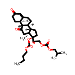 CCCCOC(=O)O[C@]1(C(=O)COC(=O)OCC(C)C)CC[C@H]2[C@@H]3CCC4=CC(=O)CC[C@]4(C)[C@H]3C(=O)C[C@@]21C